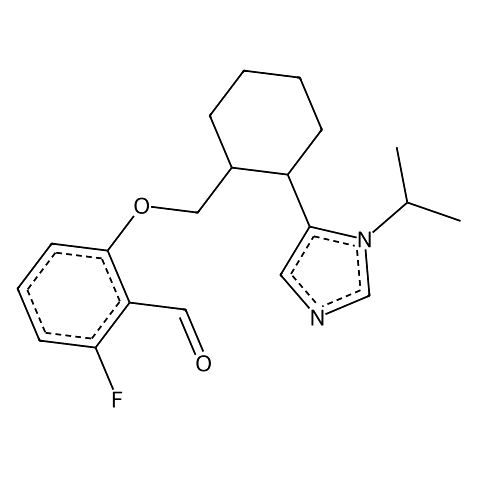 CC(C)n1cncc1C1CCCCC1COc1cccc(F)c1C=O